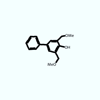 COCc1cc(-c2ccccc2)cc(COC)c1O